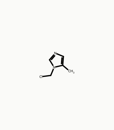 Cc1cncn1CCl